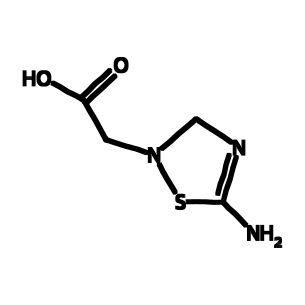 NC1=NCN(CC(=O)O)S1